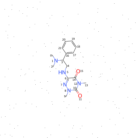 CN(C)C(CNc1nn(C)c(=O)n(C)c1=O)c1ccccc1